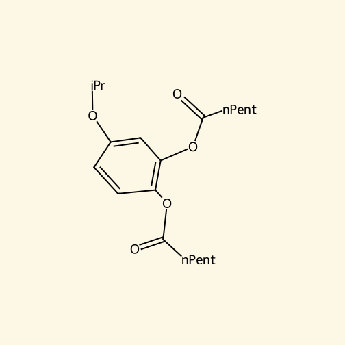 CCCCCC(=O)Oc1ccc(OC(C)C)cc1OC(=O)CCCCC